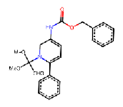 COC(C=O)(OC)N1CC(NC(=O)OCc2ccccc2)=CC=C1c1ccccc1